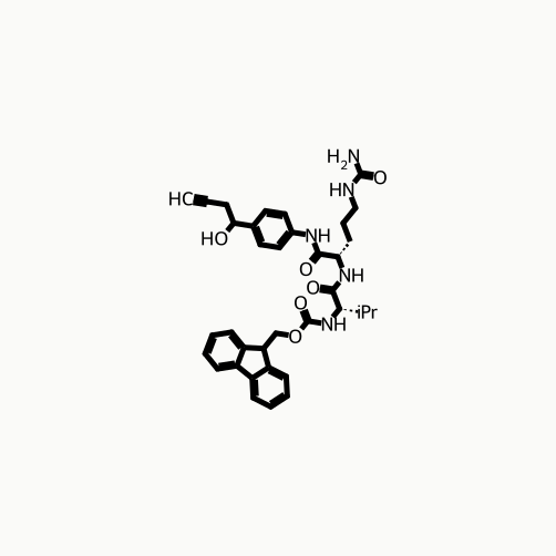 C#CCC(O)c1ccc(NC(=O)[C@H](CCCNC(N)=O)NC(=O)[C@@H](NC(=O)OCC2c3ccccc3-c3ccccc32)C(C)C)cc1